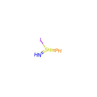 N=[SH](=P)I